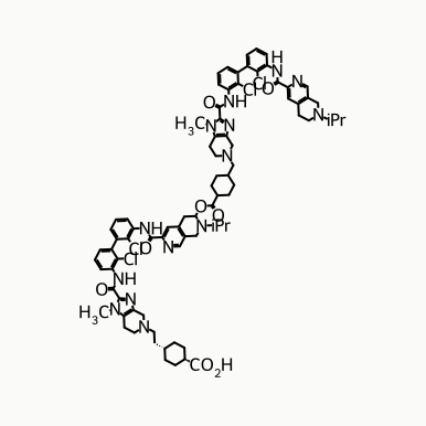 CC(C)N1CCc2cc(C(=O)Nc3cccc(-c4cccc(NC(=O)c5nc6c(n5C)CCN(CC5CCC(C(=O)OC7Cc8cc(C(=O)Nc9cccc(-c%10cccc(NC(=O)c%11nc%12c(n%11C)CCN(CC[C@H]%11CC[C@H](C(=O)O)CC%11)C%12)c%10Cl)c9Cl)ncc8CN7C(C)C)CC5)C6)c4Cl)c3Cl)ncc2C1